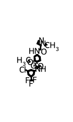 COc1cc(NC(=O)c2ccnn2C)ccc1S(=O)(=O)Nc1cc(Cl)cc(C(F)(F)F)c1